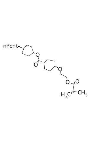 C=C(C)C(=O)OCCO[C@H]1CC[C@H](C(=O)O[C@H]2CC[C@H](CCCCC)CC2)CC1